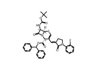 CC(C)(C)OC(=O)N[C@@H]1C(=O)N2[C@@H](C(=O)OC(c3ccccc3)c3ccccc3)C(C=C3CCN(c4ccccc4F)C3=O)=CS[C@H]12